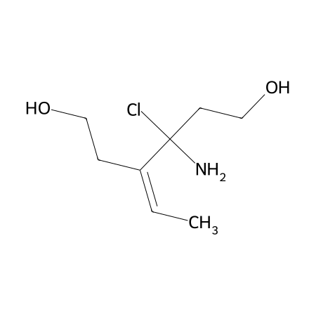 CC=C(CCO)C(N)(Cl)CCO